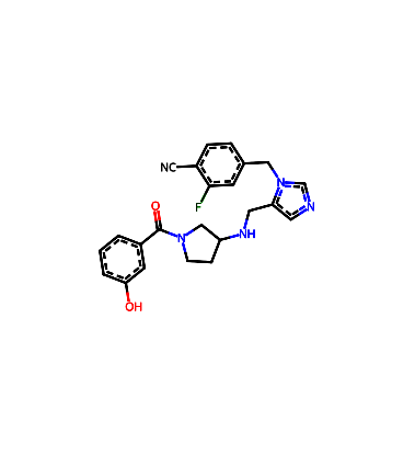 N#Cc1ccc(Cn2cncc2CNC2CCN(C(=O)c3cccc(O)c3)C2)cc1F